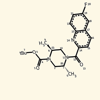 C[C@@H]1CN(C(=O)OC(C)(C)C)[C@@H](C)CN1C(=O)c1ccc2cc(F)ccc2n1